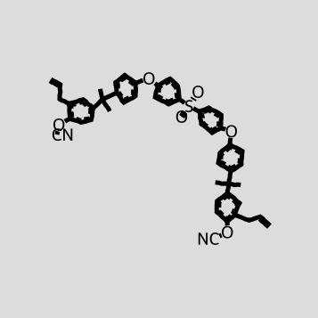 C=CCc1cc(C(C)(C)c2ccc(Oc3ccc(S(=O)(=O)c4ccc(Oc5ccc(C(C)(C)c6ccc(OC#N)c(CC=C)c6)cc5)cc4)cc3)cc2)ccc1OC#N